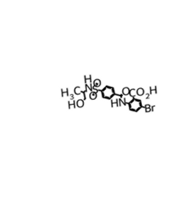 CC(CO)NS(=O)(=O)c1ccc(C(=O)Nc2ccc(Br)cc2C(=O)O)cc1